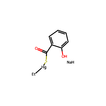 C[CH2][Hg][S]C(=O)c1ccccc1O.[NaH]